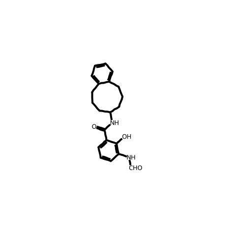 O=CNc1cccc(C(=O)NC2CCCc3ccccc3CCC2)c1O